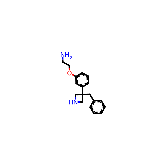 NCCOc1cccc(C2(Cc3ccccc3)CNC2)c1